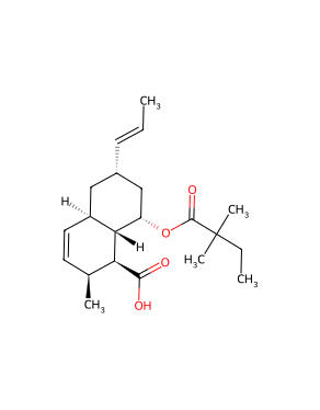 C/C=C/[C@@H]1C[C@H](OC(=O)C(C)(C)CC)[C@@H]2[C@@H](C(=O)O)[C@@H](C)C=C[C@H]2C1